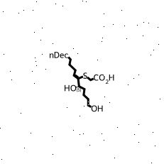 CCCCCCCCCCCCCC=C(SCC(=O)O)[C@@H](O)CCCCO